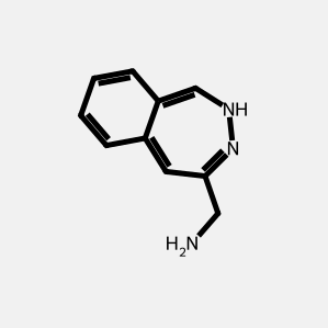 NCC1=NNC=c2ccccc2=C1